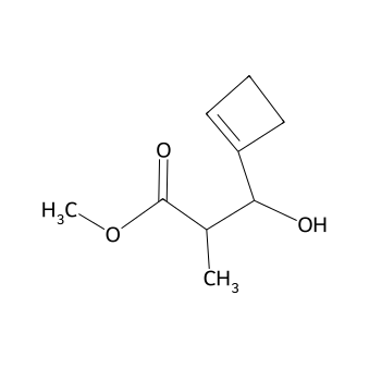 COC(=O)C(C)C(O)C1=CCC1